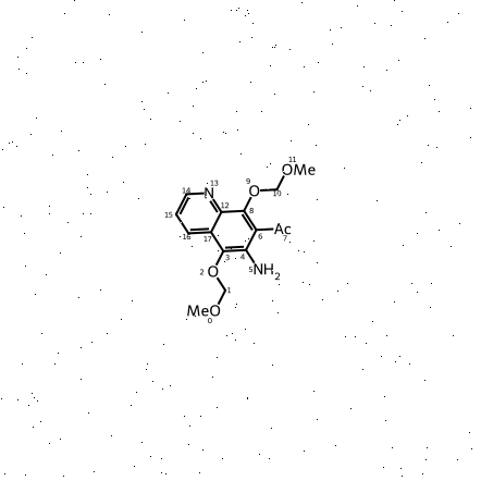 COCOc1c(N)c(C(C)=O)c(OCOC)c2ncccc12